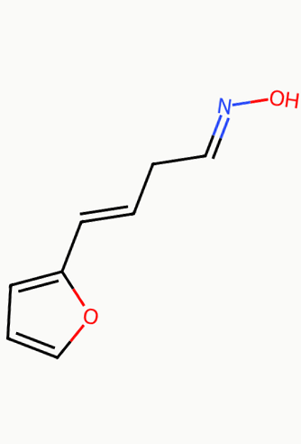 ON=CCC=Cc1ccco1